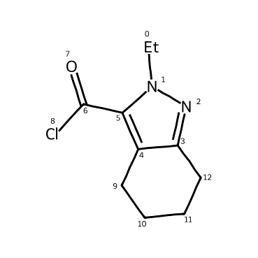 CCn1nc2c(c1C(=O)Cl)CCCC2